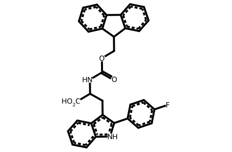 O=C(NC(Cc1c(-c2ccc(F)cc2)[nH]c2ccccc12)C(=O)O)OCC1c2ccccc2-c2ccccc21